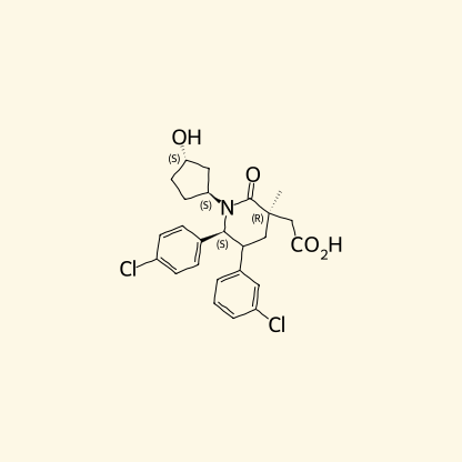 C[C@]1(CC(=O)O)CC(c2cccc(Cl)c2)[C@@H](c2ccc(Cl)cc2)N([C@H]2CC[C@H](O)C2)C1=O